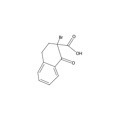 O=C(O)C1(Br)CCc2ccccc2C1=O